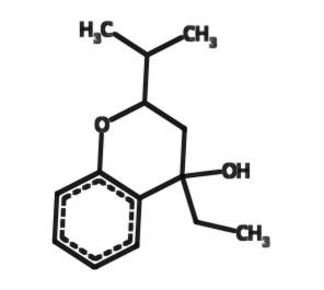 CCC1(O)CC(C(C)C)Oc2ccccc21